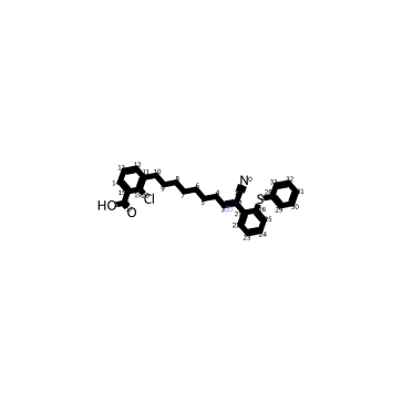 N#C/C(=C\CCCCCCCc1cccc(C(=O)O)c1Cl)c1ccccc1Sc1ccccc1